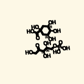 O=C(CO)[C@H](O)[C@H](O)COP(=O)(O)O.O=C(O)[C@]1(O)C[C@@H](O)[C@@H](O)[C@H](O)C1